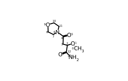 COC(CC(=O)N1CCOCC1)C(N)=O